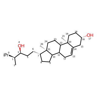 CC(C)[C@H](C)[C@@H](O)CC[C@H]1CCC2C3CC=C4C[C@@H](O)CC[C@]4(C)C3CC[C@@]21C